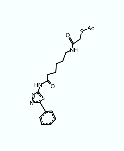 CC(=O)SCC(=O)NCCCCCC(=O)Nc1nnc(-c2ccccc2)s1